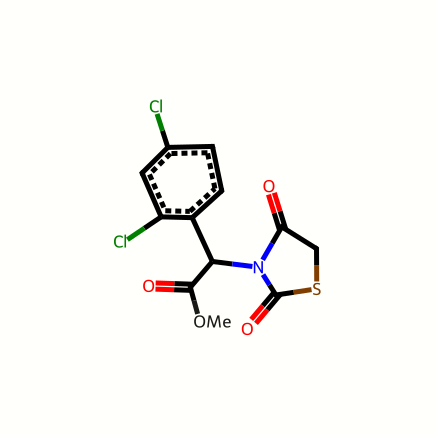 COC(=O)C(c1ccc(Cl)cc1Cl)N1C(=O)CSC1=O